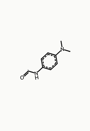 CN(C)c1ccc(N[C]=O)cc1